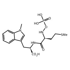 CSCC[C@H](NOP(=O)(O)O)C(=O)N[C@H](Cc1cn(C)c2ccccc12)C(=O)O